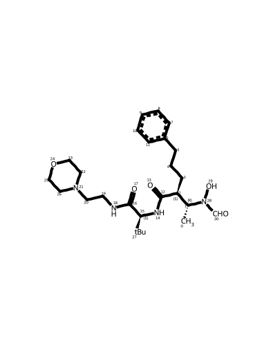 C[C@H]([C@H](CCCc1ccccc1)C(=O)N[C@H](C(=O)NCCN1CCOCC1)C(C)(C)C)N(O)C=O